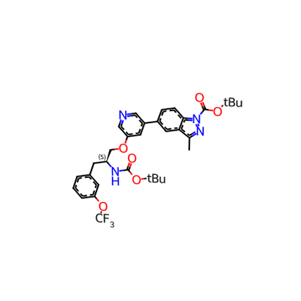 Cc1nn(C(=O)OC(C)(C)C)c2ccc(-c3cncc(OC[C@H](Cc4cccc(OC(F)(F)F)c4)NC(=O)OC(C)(C)C)c3)cc12